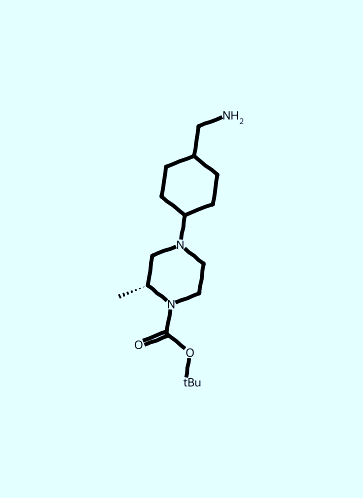 C[C@@H]1CN(C2CCC(CN)CC2)CCN1C(=O)OC(C)(C)C